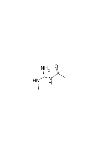 CNC(N)NC(C)=O